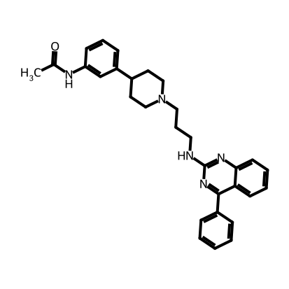 CC(=O)Nc1cccc(C2CCN(CCCNc3nc(-c4ccccc4)c4ccccc4n3)CC2)c1